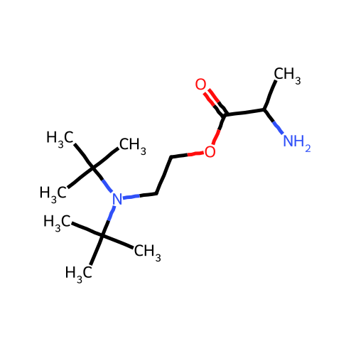 CC(N)C(=O)OCCN(C(C)(C)C)C(C)(C)C